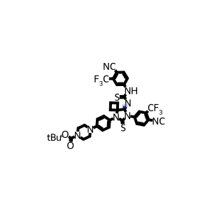 [C-]#[N+]c1ccc(N2C(=S)N(c3ccc(N4CCN(C(=O)OC(C)(C)C)CC4)cc3)C3(CCC3)/C2=N\C(=S)Nc2ccc(C#N)c(C(F)(F)F)c2)cc1C(F)(F)F